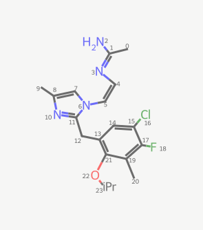 C/C(N)=N\C=C/n1cc(C)nc1Cc1cc(Cl)c(F)c(C)c1OC(C)C